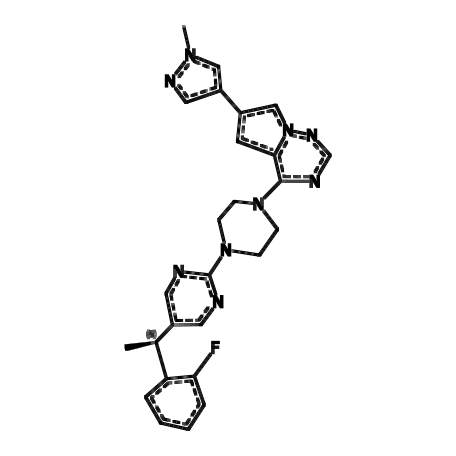 C[C@@H](c1cnc(N2CCN(c3ncnn4cc(-c5cnn(C)c5)cc34)CC2)nc1)c1ccccc1F